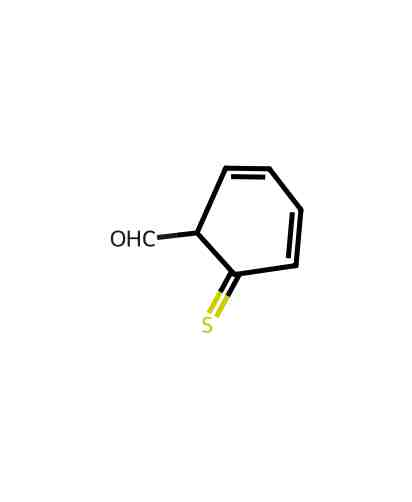 O=CC1C=CC=CC1=S